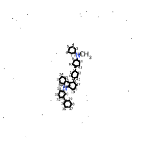 CN(c1ccccc1)c1ccc(-c2ccc(-c3cccc4c3c3ccccc3n4-c3cccc(-c4ccccc4)c3)cc2)cc1